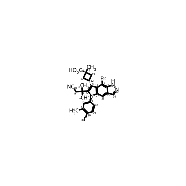 Cc1cc(-n2c(C(C)(C)CC#N)c([C@H]3C[C@](C)(C(=O)O)C3)c3c(F)c4[nH]ncc4cc32)ccc1F